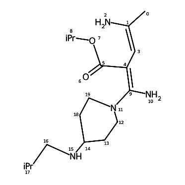 C/C(N)=C/C(C(=O)OC(C)C)=C(\N)N1CCC(NCC(C)C)CC1